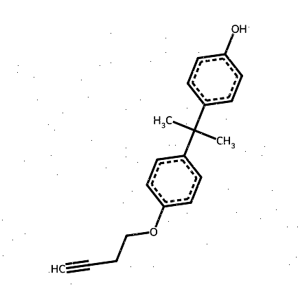 C#CCCOc1ccc(C(C)(C)c2ccc(O)cc2)cc1